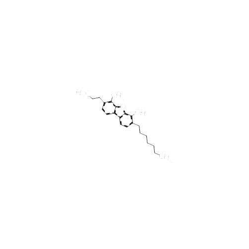 CCCCCCCc1ccc2c(oc3c(C)c(CCC)ccc32)c1C